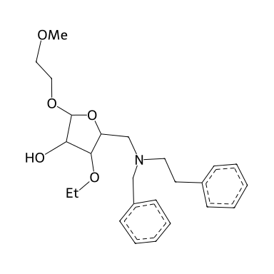 CCOC1C(CN(CCc2ccccc2)Cc2ccccc2)OC(OCCOC)C1O